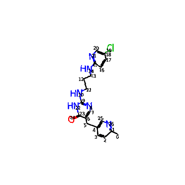 Cc1ccc(Cc2cnc(NCCCNc3ccc(Cl)cn3)[nH]c2=O)cn1